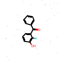 O=C(c1ccccc1)c1cccc(O)c1F